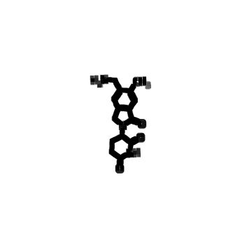 Cc1cc2c(cc1CN)CN(C1CCC(=O)NC1=O)C2=O